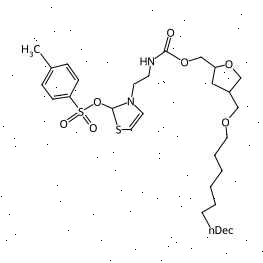 CCCCCCCCCCCCCCCCOCC1COC(COC(=O)NCCN2C=CSC2OS(=O)(=O)c2ccc(C)cc2)C1